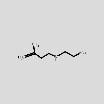 C=C(C)CCNCCCCCC